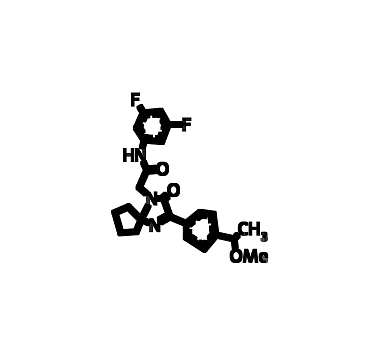 COC(C)c1ccc(C2=NC3(CCCC3)N(CC(=O)Nc3cc(F)cc(F)c3)C2=O)cc1